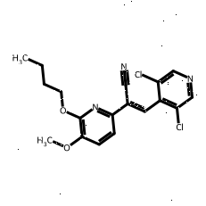 CCCCOc1nc(C(C#N)=Cc2c(Cl)cncc2Cl)ccc1OC